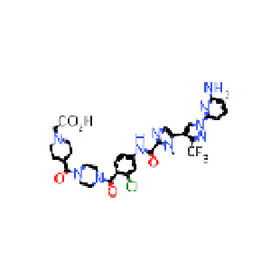 Cn1c(-c2cn(-c3cccc(N)n3)nc2C(F)(F)F)cnc1C(=O)Nc1ccc(C(=O)N2CCN(C(=O)C3CCN(CC(=O)O)CC3)CC2)c(Cl)c1